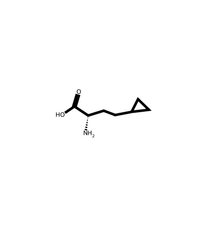 N[C@@H](CCC1CC1)C(=O)O